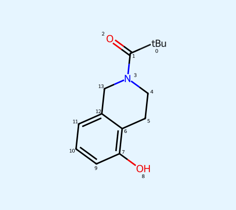 CC(C)(C)C(=O)N1CCc2c(O)cccc2C1